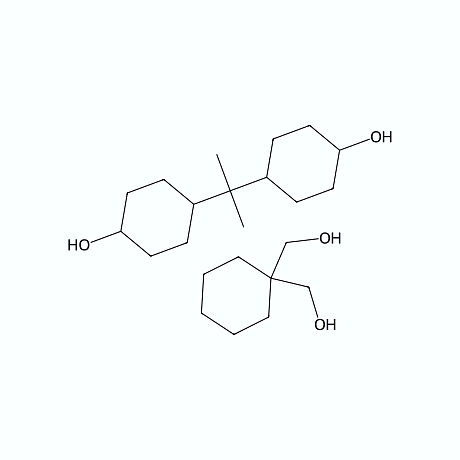 CC(C)(C1CCC(O)CC1)C1CCC(O)CC1.OCC1(CO)CCCCC1